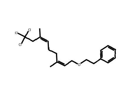 CC(=CCOCCc1ccccc1)CCC=C(C)CC(Cl)(Cl)Cl